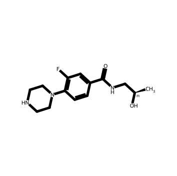 C[C@@H](O)CNC(=O)c1ccc(N2CCNCC2)c(F)c1